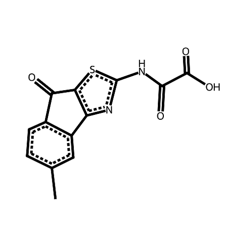 Cc1ccc2c(c1)-c1nc(NC(=O)C(=O)O)sc1C2=O